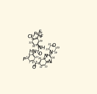 O=C(Nc1cc(F)cc(C(=O)c2ccc3ncc(N4CCOCC4)nc3c2)c1)Nc1ccc(Cl)c(C(F)(F)F)c1